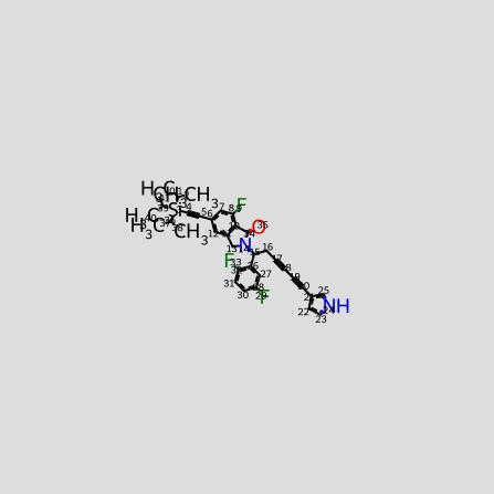 CC(C)[Si](C#Cc1cc(F)c2c(c1)CN(C(CC#CC#Cc1cc[nH]c1)c1cc(F)ccc1F)C2=O)(C(C)C)C(C)C